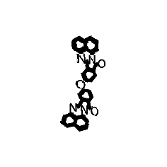 O=C1c2ccc(Oc3ccc4c(c3)C3=Nc5cccc6cccc(c56)N3C4=O)cc2C2=Nc3cccc4cccc(c34)N12